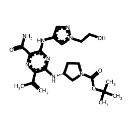 C=C(C)c1nc(C(N)=O)c(Nc2cnn(CCO)c2)nc1N[C@@H]1CCN(C(=O)OC(C)(C)C)C1